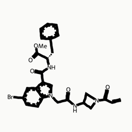 C=CC(=O)N1CC(NC(=O)Cn2cc(C(=O)N[C@@H](Cc3ccccc3)C(=O)OC)c3cc(Br)ccc32)C1